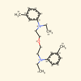 CCN(CCOCCN(CC)c1cccc(C)c1)c1cccc(C)c1